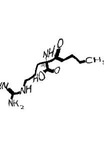 CCCCC(=O)[C@](N)(CCCNC(=N)N)C(=O)O